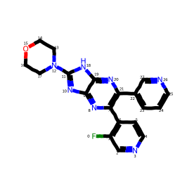 Fc1cnccc1-c1nc2nc(N3CCOCC3)[nH]c2nc1-c1cccnc1